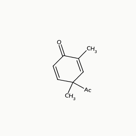 CC(=O)C1(C)C=CC(=O)C(C)=C1